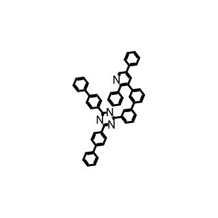 c1ccc(-c2ccc(-c3nc(-c4ccc(-c5ccccc5)cc4)nc(-c4cccc(-c5cccc(-c6cc(-c7ccccc7)cnc6-c6ccccc6)c5)c4)n3)cc2)cc1